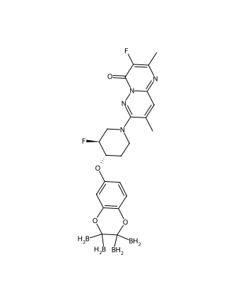 BC1(B)Oc2ccc(O[C@H]3CCN(c4nn5c(=O)c(F)c(C)nc5cc4C)C[C@@H]3F)cc2OC1(B)B